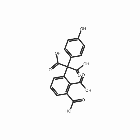 O=C(O)c1cccc(C(C(=O)O)(C(=O)O)c2ccc(O)cc2)c1C(=O)O